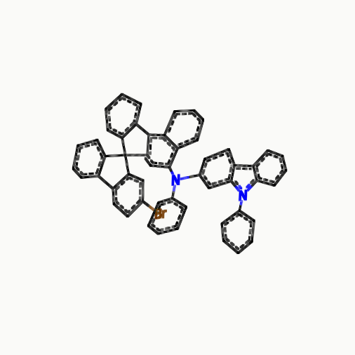 Brc1ccc2c(c1)C1(c3ccccc3-2)c2ccccc2-c2c1cc(N(c1ccccc1)c1ccc3c4ccccc4n(-c4ccccc4)c3c1)c1ccccc21